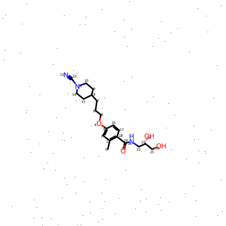 Cc1cc(OCCCC2CCN(C#N)CC2)ccc1C(=O)NC[C@H](O)CO